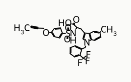 CC#CCOc1ccc(S(=O)(=O)NC(Cc2cn(Cc3ccccc3C(F)(F)F)c3ccc(C)cc23)C(=O)O)cc1